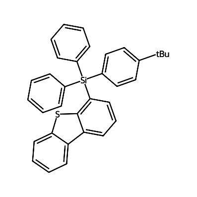 CC(C)(C)c1ccc([Si](c2ccccc2)(c2ccccc2)c2cccc3c2sc2ccccc23)cc1